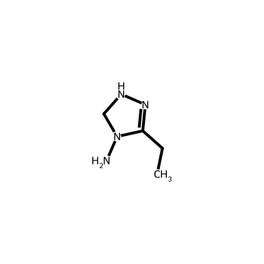 CCC1=NNCN1N